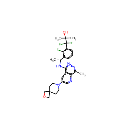 Cc1nnc(N[C@H](C)c2cccc(C(F)(F)C(C)(C)O)c2F)c2cc(N3CCC4(CC3)COC4)cnc12